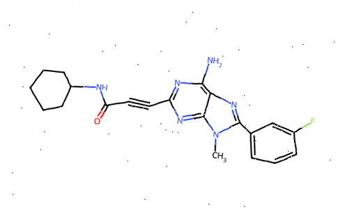 Cn1c(-c2cccc(F)c2)nc2c(N)nc(C#CC(=O)NC3CCCCC3)nc21